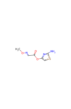 CON=CC(=O)Oc1csc(N)n1